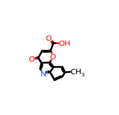 Cc1ccc2ncc3c(=O)cc(C(=O)O)oc3c2c1